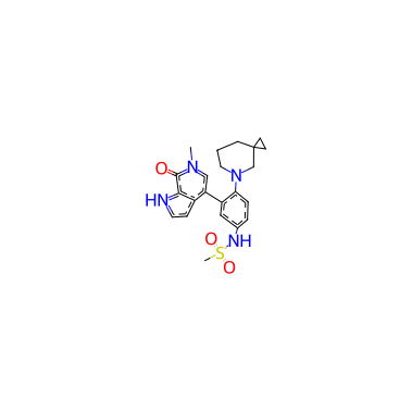 Cn1cc(-c2cc(NS(C)(=O)=O)ccc2N2CCCC3(CC3)C2)c2cc[nH]c2c1=O